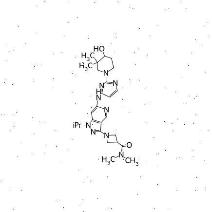 CC(C)n1nc(N2CC(C(=O)N(C)C)C2)c2cnc(Nc3ccnc(N4CCC(O)C(C)(C)C4)n3)cc21